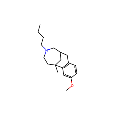 CCCCN1CCC2(C)CC(Cc3ccc(OC)cc32)C1